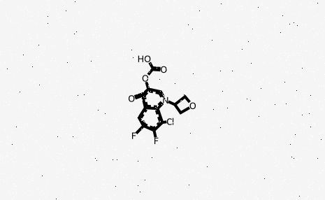 O=C(O)Oc1cn(C2COC2)c2c(Cl)c(F)c(F)cc2c1=O